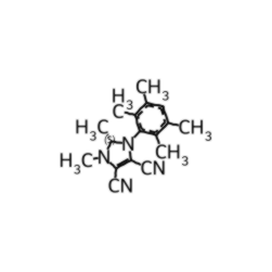 Cc1cc(C)c(C)c(N2C(C#N)=C(C#N)N(C)[C@@H]2C)c1C